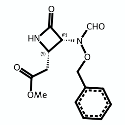 COC(=O)C[C@@H]1NC(=O)[C@@H]1N(C=O)OCc1ccccc1